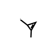 CC1=CC1I